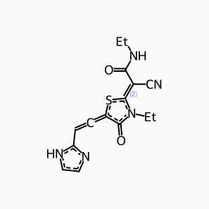 CCNC(=O)/C(C#N)=c1\sc(=C=Cc2ncc[nH]2)c(=O)n1CC